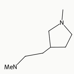 CNCCC1CCN(C)C1